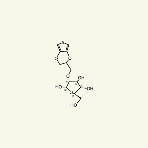 OC[C@H]1O[C@H](O)[C@H](OCC2COc3cscc3O2)[C@@H](O)[C@@H]1O